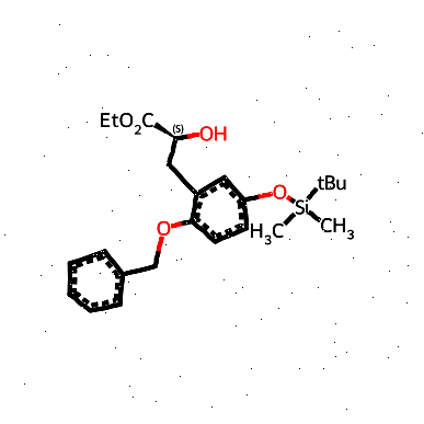 CCOC(=O)[C@@H](O)Cc1cc(O[Si](C)(C)C(C)(C)C)ccc1OCc1ccccc1